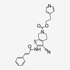 N#Cc1c(NC(=O)C=Cc2ccccc2)sc2c1CCN(C(=O)OCCc1ccncc1)C2